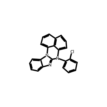 Clc1ccccc1-n1c2cccc3cccc(c32)n2c3ccccc3nc12